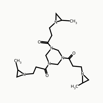 CC1CN1CCC(=O)N1CN(C(=O)CCN2CC2C)CN(C(=O)CCN2CC2C)C1